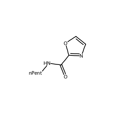 CCCCCNC(=O)c1ncco1